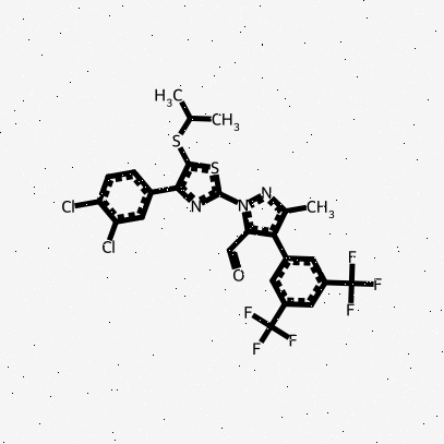 Cc1nn(-c2nc(-c3ccc(Cl)c(Cl)c3)c(SC(C)C)s2)c(C=O)c1-c1cc(C(F)(F)F)cc(C(F)(F)F)c1